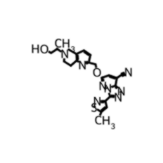 Cc1cc(-c2nnc3c(C#N)cc(OCc4ccc5c(n4)CCN(C(C)CO)C5)nn23)ns1